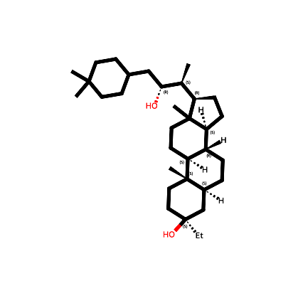 CC[C@]1(O)CC[C@@]2(C)[C@@H](CC[C@H]3[C@@H]4CC[C@H]([C@H](C)[C@H](O)CC5CCC(C)(C)CC5)C4(C)CC[C@@H]32)C1